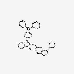 c1ccc(B(c2ccccc2)c2ccc(-n3c4ccccc4c4cc5cc6ccn(-c7ccccc7)c6cc5cc43)cc2)cc1